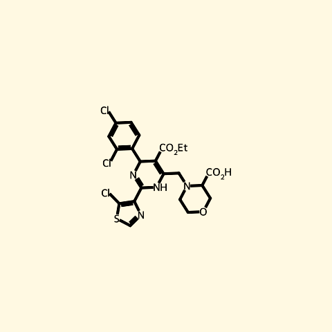 CCOC(=O)C1=C(CN2CCOCC2C(=O)O)NC(c2ncsc2Cl)=NC1c1ccc(Cl)cc1Cl